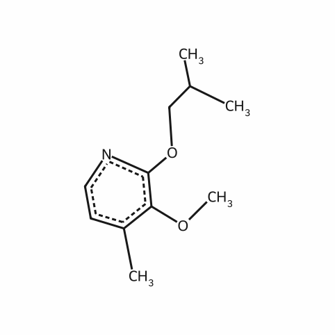 COc1c(C)ccnc1OCC(C)C